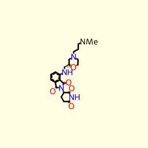 CNCCCN1CCO[C@@H](CNc2cccc3c2C(=O)N(C2CCC(=O)NC2=O)C3=O)C1